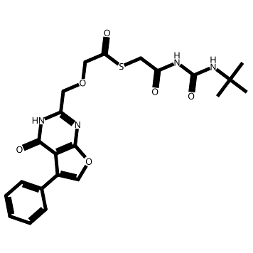 CC(C)(C)NC(=O)NC(=O)CSC(=O)COCc1nc2occ(-c3ccccc3)c2c(=O)[nH]1